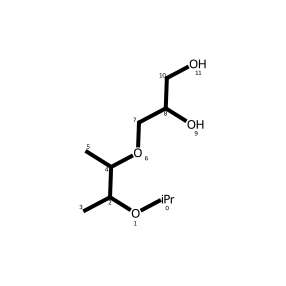 CC(C)OC(C)C(C)OCC(O)CO